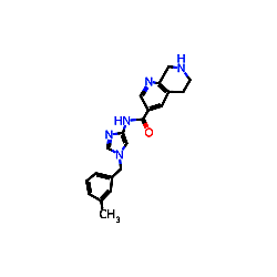 Cc1cccc(Cn2cnc(NC(=O)c3cnc4c(c3)CCNC4)c2)c1